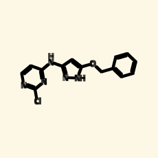 Clc1nccc(Nc2cc(OCc3ccccc3)[nH]n2)n1